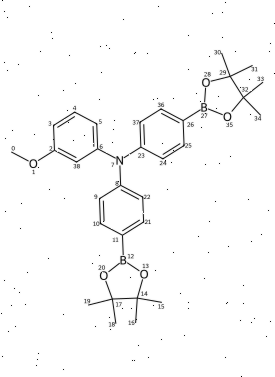 COc1cccc(N(c2ccc(B3OC(C)(C)C(C)(C)O3)cc2)c2ccc(B3OC(C)(C)C(C)(C)O3)cc2)c1